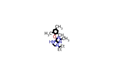 CCC(CC)N1CCNc2c(Oc3c(C)cc(C)cc3C)nc(C)nc21